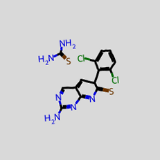 NC(N)=S.Nc1ncc2c(n1)=NC(=S)C(c1c(Cl)cccc1Cl)C=2